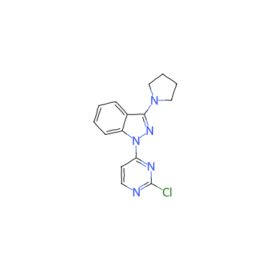 Clc1nccc(-n2nc(N3CCCC3)c3ccccc32)n1